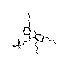 CCCCc1cc(CCCC)c2c(c1)Oc1c(CCCC)cccc1N2CCCS(=O)(=O)O